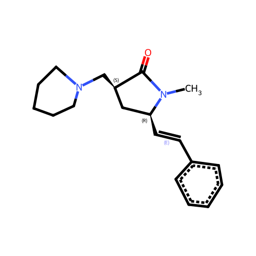 CN1C(=O)[C@H](CN2CCCCC2)C[C@@H]1/C=C/c1ccccc1